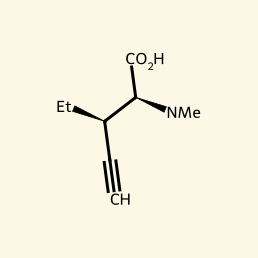 C#C[C@@H](CC)[C@H](NC)C(=O)O